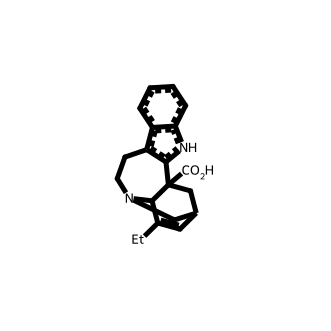 CCC1=CC2CN3CCc4c([nH]c5ccccc45)C(C(=O)O)(C2)C13